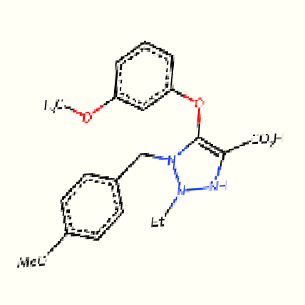 CCN1NC(C(=O)O)=C(Oc2cccc(OC(F)(F)F)c2)N1Cc1ccc(OC)cc1